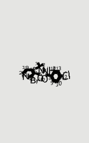 CC(C)(C)N(NC(=O)c1ccc(Cl)cc1)C(=O)c1cccnc1Br